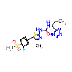 CCC(NC(=O)Nc1nc(C)c(-c2ccc(S(C)(=O)=O)c(F)c2)s1)c1nnn[nH]1